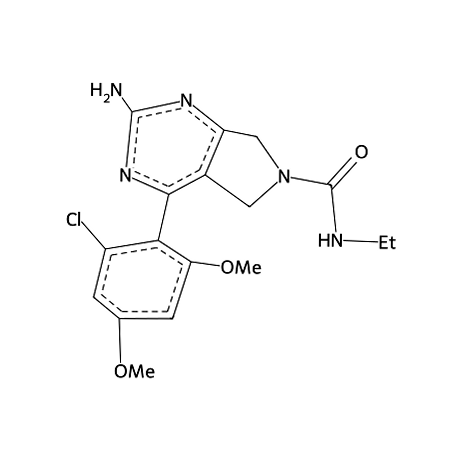 CCNC(=O)N1Cc2nc(N)nc(-c3c(Cl)cc(OC)cc3OC)c2C1